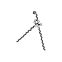 CCCCCCCCCCCCCCCOC(=O)C(OC(=O)CCCN1CCC1)C(=O)OCCCCCCCCCCCCCCC